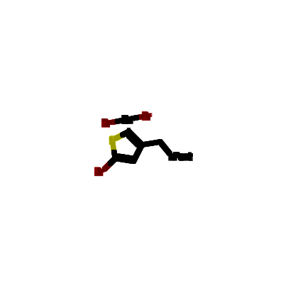 CCCCCCc1[c]sc(Br)c1.[Br][Zn][Br]